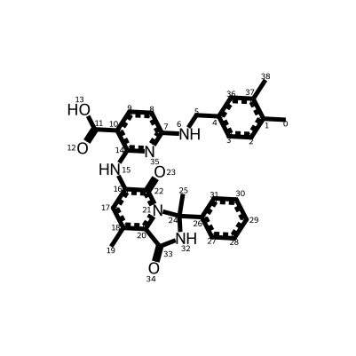 Cc1ccc(CNc2ccc(C(=O)O)c(Nc3cc(C)c4n(c3=O)C(C)(c3ccccc3)NC4=O)n2)cc1C